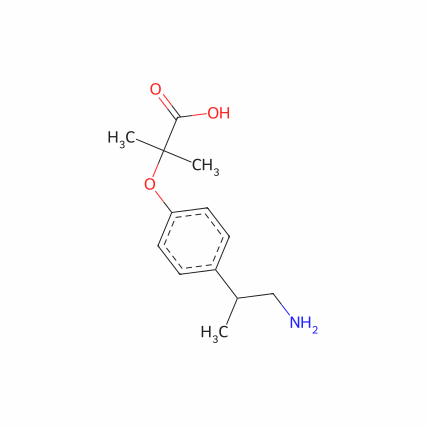 CC(CN)c1ccc(OC(C)(C)C(=O)O)cc1